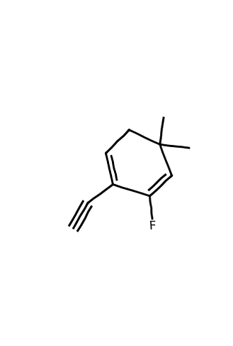 C#CC1=CCC(C)(C)C=C1F